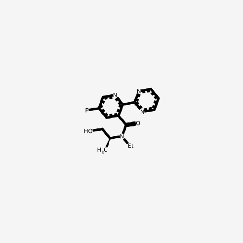 CCN(C(=O)c1cc(F)cnc1-c1ncccn1)[C@@H](C)CO